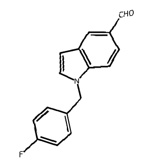 O=Cc1ccc2c(ccn2Cc2ccc(F)cc2)c1